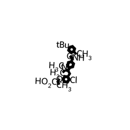 Cc1c(Cc2cc(O[C@H](C)C(=O)O)ccc2Cl)c2ccc(C(=O)N[C@@H](C)c3ccc(C(C)(C)C)cc3)cc2n1C